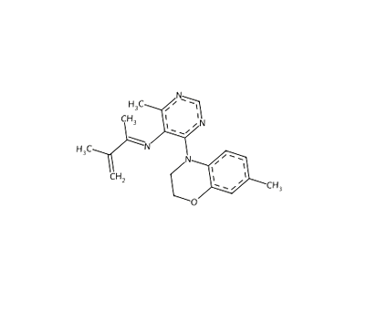 C=C(C)/C(C)=N/c1c(C)ncnc1N1CCOc2cc(C)ccc21